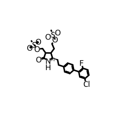 CS(=O)(=O)OCCC1C(COS(C)(=O)=O)C(=O)N[C@@H]1CCc1ccc(-c2cc(Cl)ccc2F)cc1